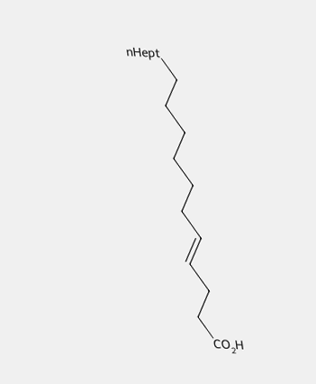 CCCCCCCCCCCCC/C=C/CCC(=O)O